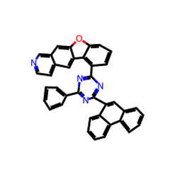 c1ccc(-c2nc(-c3cc4ccccc4c4ccccc34)nc(-c3cccc4oc5cc6cnccc6cc5c34)n2)cc1